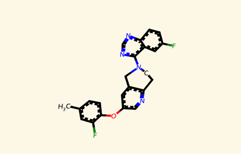 Cc1ccc(Oc2cnc3c(c2)CN(c2ncnc4ccc(F)cc24)CC3)c(F)c1